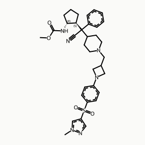 COC(=O)N[C@@H]1CCC[C@H]1C(C#N)(c1ccccc1)C1CCN(CC2CN(c3ccc(S(=O)(=O)c4cnn(C)c4)cc3)C2)CC1